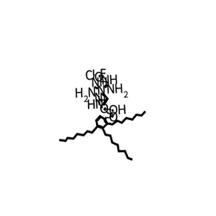 CCCCCCCCc1ccc(S(=O)(=O)O)c(CCCCCCCC)c1CCCCCCCC.FOCl.N=C(N)NC(=N)N.c1cn[nH]c1